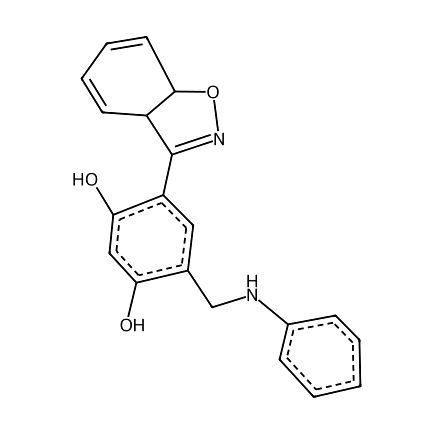 Oc1cc(O)c(C2=NOC3C=CC=CC23)cc1CNc1ccccc1